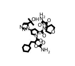 CC(C)(O)c1cnnn1[C@H]1C[C@@H](C(=O)NC2(C(=O)C(N)=O)CCOCC2)N(C(=O)C(CC2CCCCC2)OC(N)=O)C1